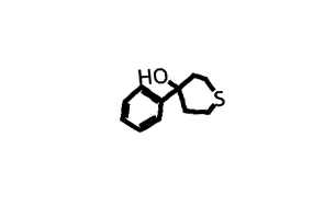 OC1(c2ccccc2)CCSCC1